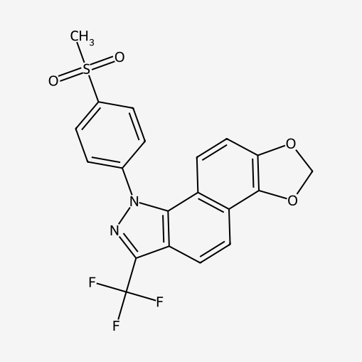 CS(=O)(=O)c1ccc(-n2nc(C(F)(F)F)c3ccc4c5c(ccc4c32)OCO5)cc1